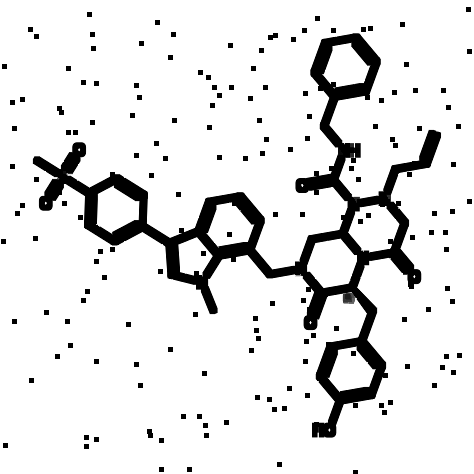 C=CCN1CC(=O)N2C(CN(Cc3cccc4c(-c5ccc(S(C)(=O)=O)cc5)cn(C)c34)C(=O)[C@@H]2Cc2ccc(O)cc2)N1C(=O)NCc1ccccc1